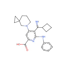 N=C(c1c(N2CCCC3(CC3)C2)cc(C(=O)O)nc1Nc1ccccc1)C1CCC1